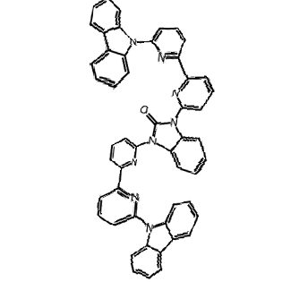 O=c1n(-c2cccc(-c3cccc(-n4c5ccccc5c5ccccc54)n3)n2)c2ccccc2n1-c1cccc(-c2cccc(-n3c4ccccc4c4ccccc43)n2)n1